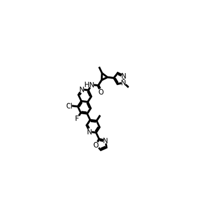 Cc1cc(-c2ncco2)ncc1-c1cc2cc(NC(=O)C3C(C)C3c3cnn(C)c3)ncc2c(Cl)c1F